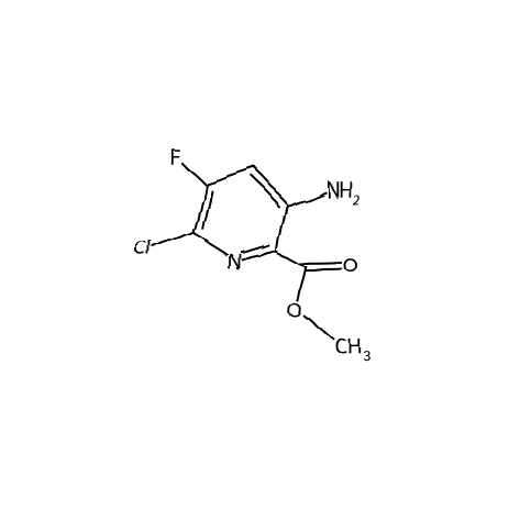 COC(=O)c1nc(Cl)c(F)cc1N